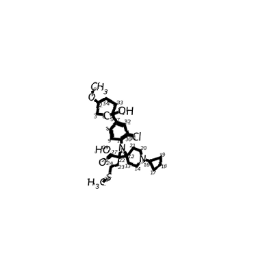 COC1CCC(O)(c2ccc(N3C4(CCN(C5CCC5)CC4)[C@]3(CCSC)C(=O)O)c(Cl)c2)CC1